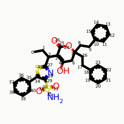 CCC(C1=C(O)CC(CCc2ccccc2)(CCc2ccccc2)OC1=O)c1nc(S(N)(=O)=O)c(-c2ccccc2)s1